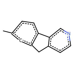 Cc1ccc2c(c1)Cc1ccncc1-2